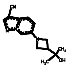 CC(C)(O)C1CN(c2ccc3c(C#N)cnn3c2)C1